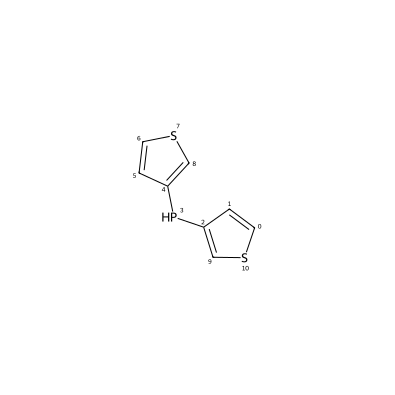 c1cc(Pc2ccsc2)cs1